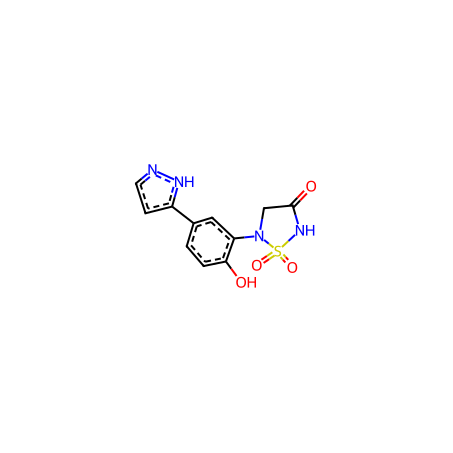 O=C1CN(c2cc(-c3ccn[nH]3)ccc2O)S(=O)(=O)N1